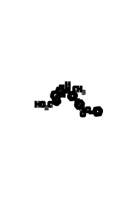 Cc1cc(N2CCN(C(=O)OCc3ccccc3)CC2)ccc1Nc1ncc2c(n1)-n1ccc(C(=O)O)c1CC2